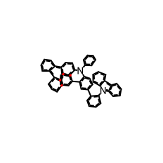 c1ccc(-c2cc(-c3ccccc3-n3c4ccccc4c4ccccc43)ccc2N(c2ccccc2)c2ccc3c4ccccc4c4ccccc4c3c2)cc1